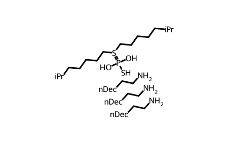 CC(C)CCCCCS(CCCCCC(C)C)=P(O)(O)S.CCCCCCCCCCCCN.CCCCCCCCCCCCN.CCCCCCCCCCCCN